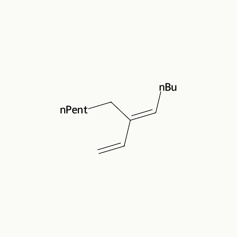 C=CC(=CCCCC)CCCCCC